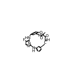 CC12Oc3ccc(cc3NC1=O)Nc1nc(ncc1F)Nc1cccc(c1)CCNC2=O